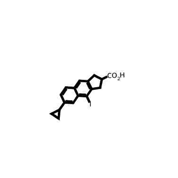 O=C(O)C1Cc2cc3ccc(C4CC4)cc3c(I)c2C1